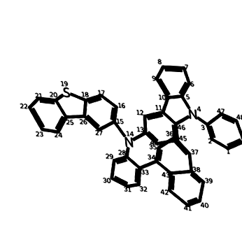 c1ccc(-n2c3ccccc3c3cc(N(c4ccc5sc6ccccc6c5c4)c4ccccc4-c4cccc5ccccc45)ccc32)cc1